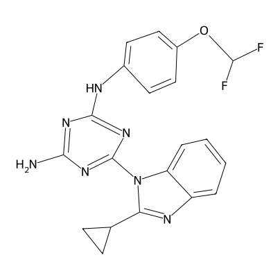 Nc1nc(Nc2ccc(OC(F)F)cc2)nc(-n2c(C3CC3)nc3ccccc32)n1